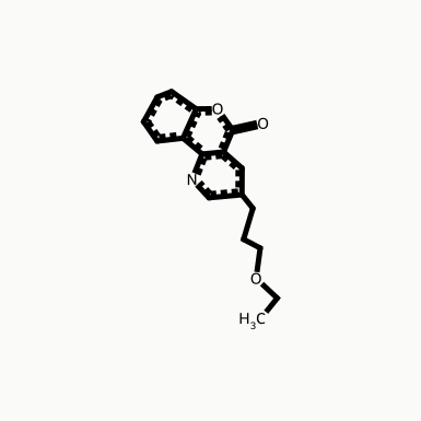 CCOCCCc1cnc2c(c1)c(=O)oc1ccccc12